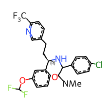 CNC(=O)C(N[C@H](CCc1ccc(C(F)(F)F)nc1)c1cccc(OC(F)F)c1)c1ccc(Cl)cc1